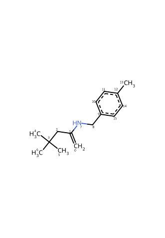 C=C(CC(C)(C)C)NCc1ccc(C)cc1